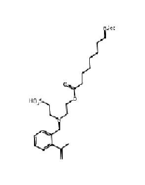 C=C(C)c1ccccc1CN(CCOC(=O)CCCCCCCCCCCCCCCCC)CCS(=O)(=O)O